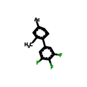 CC(=O)c1ccc(-c2cc(F)c(F)c(F)c2)c(C)c1